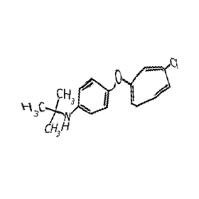 CC(C)(C)Nc1ccc(Oc2cccc(Cl)c2)cc1